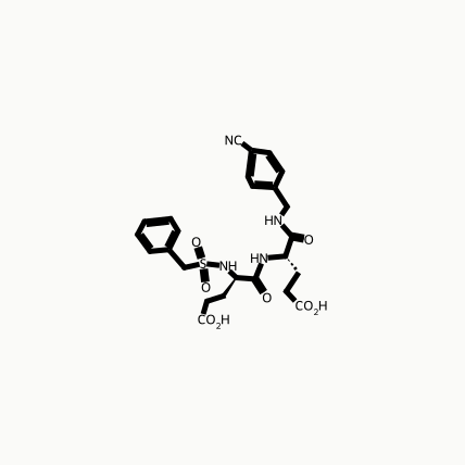 N#Cc1ccc(CNC(=O)[C@H](CCC(=O)O)NC(=O)[C@@H](CCC(=O)O)NS(=O)(=O)Cc2ccccc2)cc1